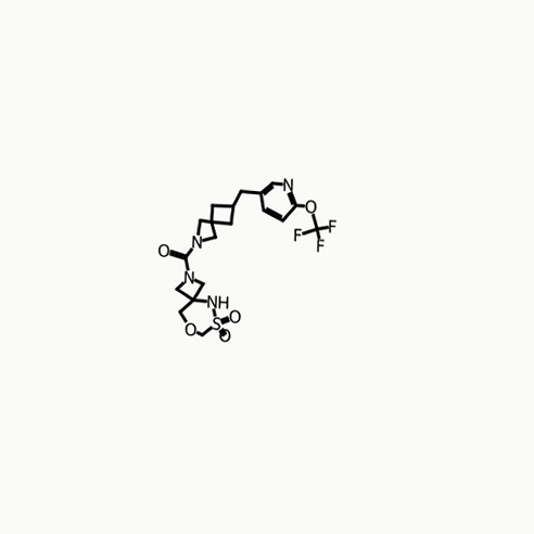 O=C(N1CC2(CC(Cc3ccc(OC(F)(F)F)nc3)C2)C1)N1CC2(COCS(=O)(=O)N2)C1